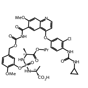 COc1ccc(COC(=O)NC(=O)c2cc3c(Oc4ccc(NC(=O)NC5CC5)c(Cl)c4)ccnc3cc2OC)cc1OP(=O)(N[C@@H](C)C(=O)O)N[C@@H](C)C(=O)OC(C)C